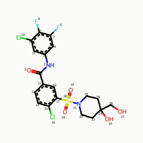 O=C(Nc1cc(F)c(F)c(Cl)c1)c1ccc(Cl)c(S(=O)(=O)N2CCC(O)(CO)CC2)c1